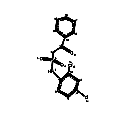 O=C(CS(=O)(=O)Nc1ccc(Cl)cc1C(F)(F)F)c1ccccc1